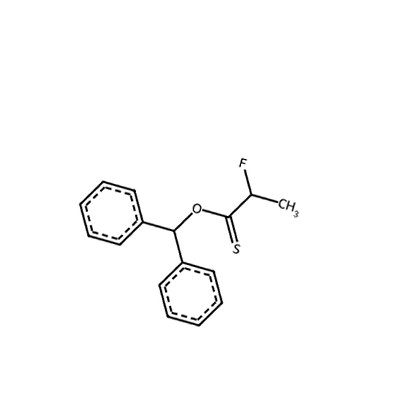 CC(F)C(=S)OC(c1ccccc1)c1ccccc1